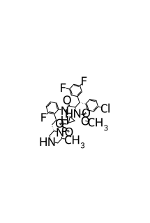 COC(=O)N[C@H](C(=O)Nc1cccc(F)c1CC[C@H]1CNC[C@H](C)N1S(=O)(=O)C1CC1)[C@@H](c1ccc(Cl)cc1)c1cc(F)cc(F)c1